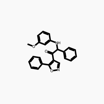 COc1cccc(NC(C(=O)c2cnoc2-c2ccccc2)c2ccccc2)c1